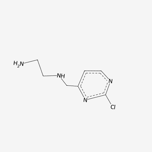 NCCNCc1ccnc(Cl)n1